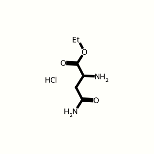 CCOC(=O)C(N)CC(N)=O.Cl